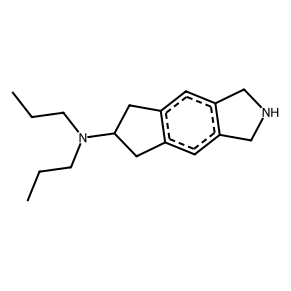 CCCN(CCC)C1Cc2cc3c(cc2C1)CNC3